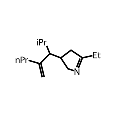 C=C(CCC)C(C(C)C)C1CN=C(CC)C1